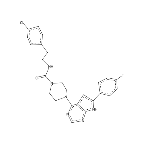 O=C(NCCc1ccc(Cl)cc1)N1CCN(c2ncnc3[nH]c(-c4ccc(F)cc4)cc23)CC1